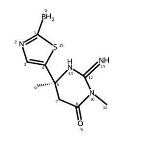 Bc1ncc([C@]2(C)CC(=O)N(C)C(=N)N2)s1